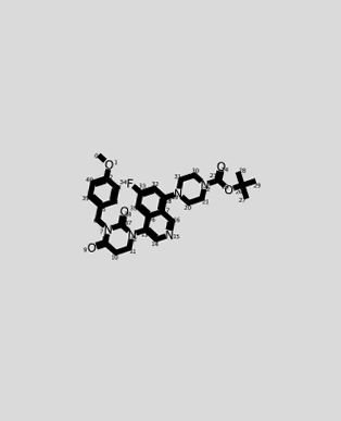 COc1ccc(CN2C(=O)CCN(c3cncc4c(N5CCN(C(=O)OC(C)(C)C)CC5)cc(F)cc34)C2=O)cc1